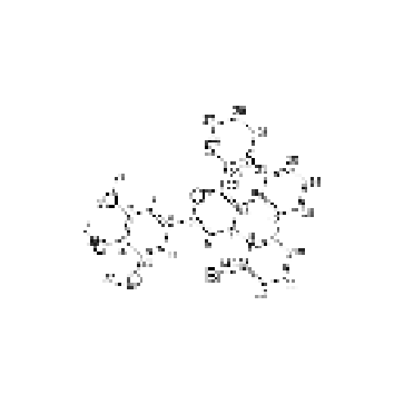 COc1cc(C2=CC(c3ccccc3Br)C(c3ccccc3)=C(C3SCCCS3)O2)cc(OC)c1OC